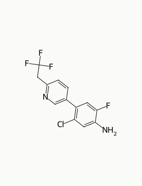 Nc1cc(Cl)c(-c2ccc(CC(F)(F)F)nc2)cc1F